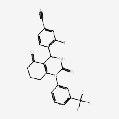 N#Cc1ccc(C2NC(=O)N(c3cccc(C(F)(F)F)c3)C3=C2C(=O)CCC3)c(F)c1